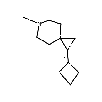 CN1CCC2(CC1)CC2C1CCC1